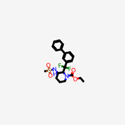 CCOC(=O)N1CCCC(NS(C)(=O)=O)C1C(F)(F)c1cccc(-c2ccccc2)c1